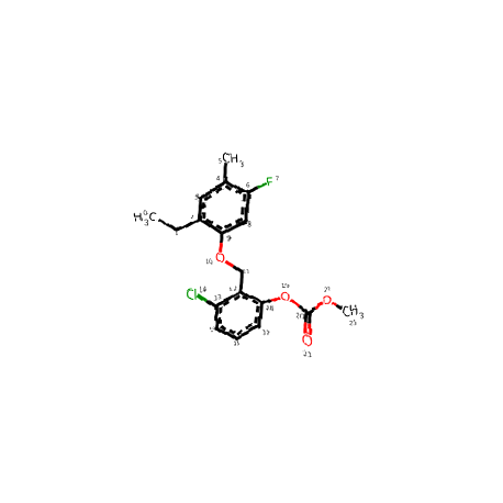 CCc1cc(C)c(F)cc1OCc1c(Cl)cccc1OC(=O)OC